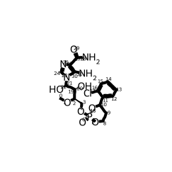 CO[C@H](COP1(=O)OCCC(c2ccccc2Cl)O1)[C@@H](O)[C@@H](O)n1cnc(C(N)=O)c1N